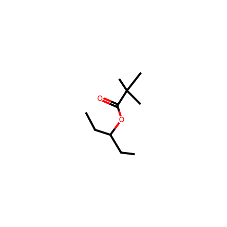 CCC(CC)OC(=O)C(C)(C)C